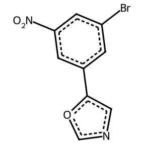 O=[N+]([O-])c1cc(Br)cc(-c2cnco2)c1